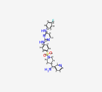 NC(c1cccnc1)C1CCN(S(=O)(=O)c2ccc(Nc3nccc(Nc4ccc(F)cc4)n3)cc2)CC1